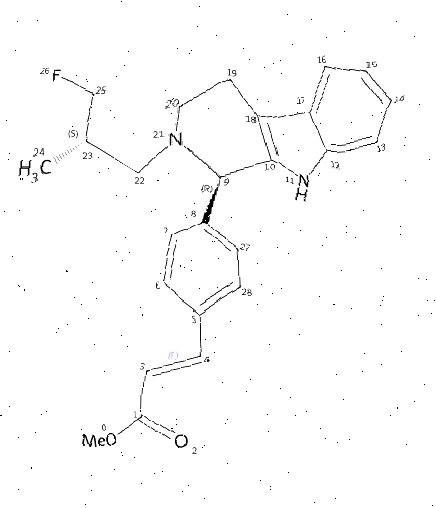 COC(=O)/C=C/c1ccc([C@@H]2c3[nH]c4ccccc4c3CCN2C[C@H](C)CF)cc1